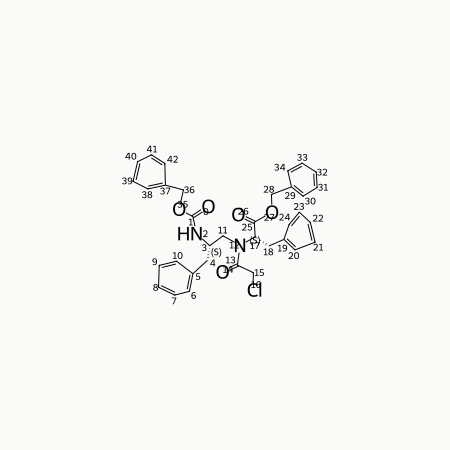 O=C(N[C@@H](Cc1ccccc1)CN(C(=O)CCl)[C@@H](Cc1ccccc1)C(=O)OCc1ccccc1)OCc1ccccc1